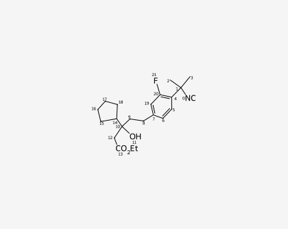 [C-]#[N+]C(C)(C)c1ccc(CCC(O)(CC(=O)OCC)C2CCCC2)cc1F